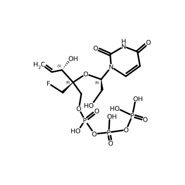 C=C[C@H](O)[C@@](CF)(COP(=O)(O)OP(=O)(O)OP(=O)(O)O)O[C@H](CO)n1ccc(=O)[nH]c1=O